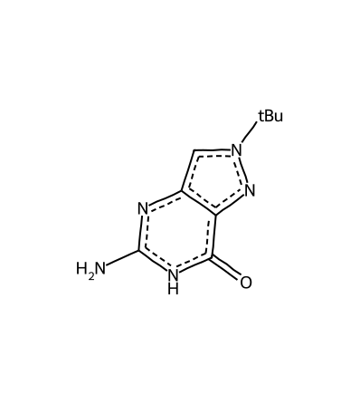 CC(C)(C)n1cc2nc(N)[nH]c(=O)c2n1